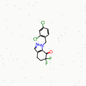 O=C1c2c(cnn2Cc2ccc(Cl)cc2Cl)CCC1(F)F